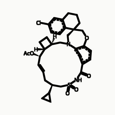 CC(=O)O[C@H]1/C=C/C[C@H](C2CC2)CS(=O)(=O)NC(=O)c2ccc3c(c2)N(C[C@@H]2CC[C@H]21)C[C@@]1(CCCc2cc(Cl)ccc21)CO3